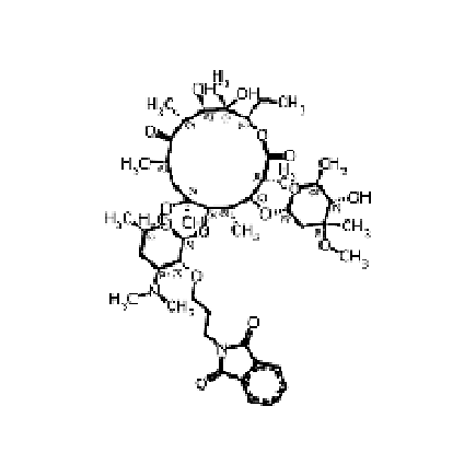 CC[C@H]1OC(=O)[C@H](C)[C@@H](O[C@H]2C[C@@](C)(OC)[C@@H](O)[C@H](C)O2)[C@H](C)[C@@H](O[C@@H]2O[C@H](C)C[C@H](N(C)C)[C@H]2OCCCN2C(=O)c3ccccc3C2=O)[C@@](C)(OC)C[C@@H](C)C(=O)[C@H](C)[C@@H](O)[C@]1(C)O